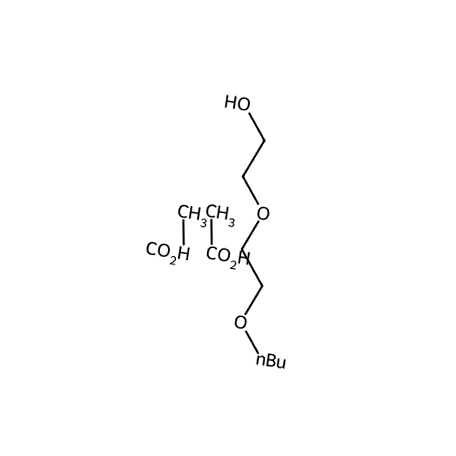 CC(=O)O.CC(=O)O.CCCCOCCOCCO